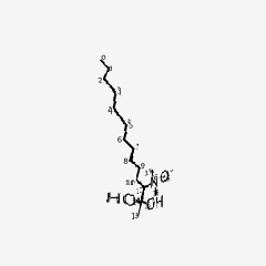 CCCCCCCCCCCC(C(C)(O)O)[N+](C)(C)[O-]